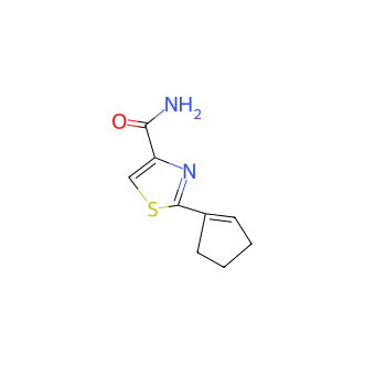 NC(=O)c1csc(C2=CCCC2)n1